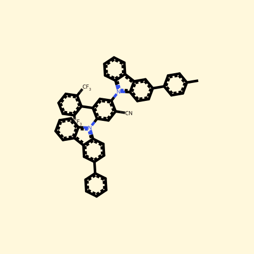 Cc1ccc(-c2ccc3c(c2)c2ccccc2n3-c2cc(-c3c(C(F)(F)F)cccc3C(F)(F)F)c(-n3c4ccccc4c4cc(-c5ccccc5)ccc43)cc2C#N)cc1